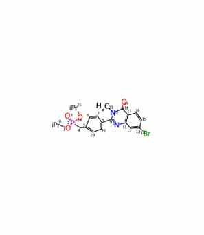 CC(C)OP(=O)(Cc1ccc(-c2nc3cc(Br)ccc3c(=O)n2C)cc1)OC(C)C